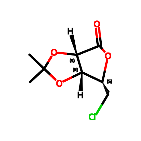 CC1(C)O[C@@H]2[C@H](O1)C(=O)O[C@@H]2CCl